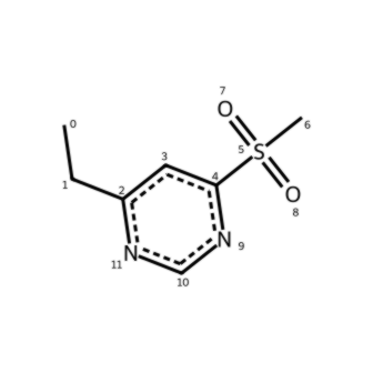 CCc1cc(S(C)(=O)=O)ncn1